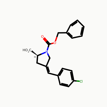 O=C(O)[C@@H]1CC(=Cc2ccc(Cl)cc2)CN1C(=O)OCc1ccccc1